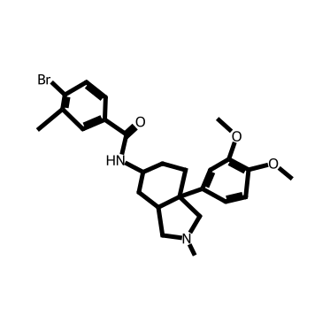 COc1ccc(C23CCC(NC(=O)c4ccc(Br)c(C)c4)CC2CN(C)C3)cc1OC